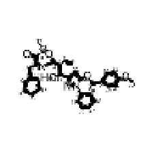 C=C[C@H](C(=O)N[C@@H](Cc1ccccc1)C(=O)OC)[C@H](O)c1cc(OCc2ccc(OC)cc2)n(-c2ccccc2)n1